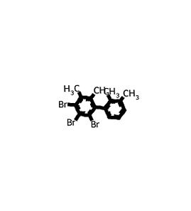 Cc1cccc(-c2c(C)c(C)c(Br)c(Br)c2Br)c1C